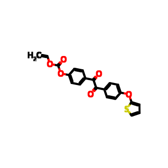 C=COC(=O)Oc1ccc(C(=O)C(=O)c2ccc(Oc3cccs3)cc2)cc1